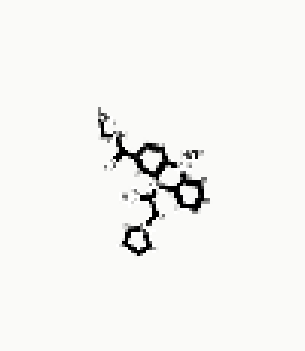 CCNC(=O)c1ccc2c(c1)N(C(C)CN1CCCC1)c1ccccc1S2.Cl